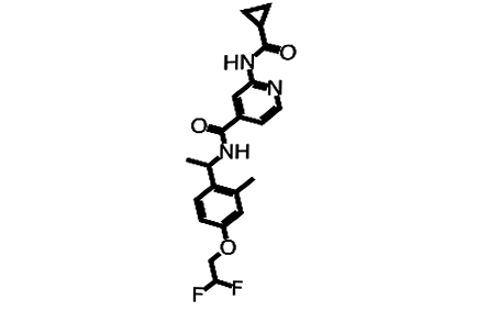 Cc1cc(OCC(F)F)ccc1C(C)NC(=O)c1ccnc(NC(=O)C2CC2)c1